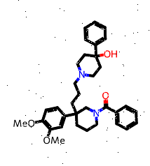 COc1ccc(C2(CCCN3CCC(O)(c4ccccc4)CC3)CCCN(C(=O)c3ccccc3)C2)cc1OC